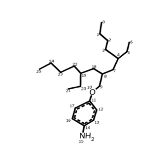 CCCCC(CC)CC(COc1ccc(N)cc1)CC(CC)CCCC